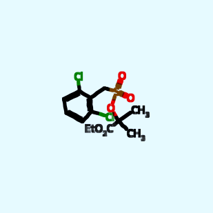 CCOC(=O)C(C)(C)OS(=O)(=O)Cc1c(Cl)cccc1Cl